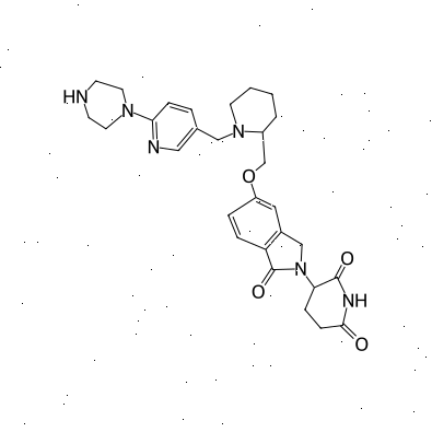 O=C1CCC(N2Cc3cc(OCC4CCCCN4Cc4ccc(N5CCNCC5)nc4)ccc3C2=O)C(=O)N1